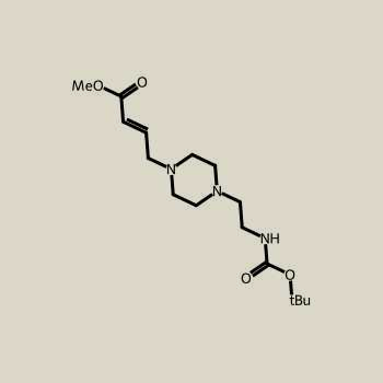 COC(=O)/C=C/CN1CCN(CCNC(=O)OC(C)(C)C)CC1